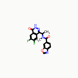 CC(c1n[nH]c(=O)c2cc(F)c(F)cc12)N(C)C(=O)c1ccc2ncoc2c1